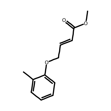 COC(=O)/C=C/COc1ccccc1C